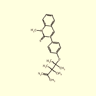 C=C(C)C(C)(C)C(C)(C)Oc1ccc(-c2cc3ccccc3n(C)c2=S)cc1